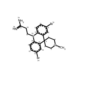 CN1CCC2(CC1)c1cc(Br)ccc1N(CCC(=N)N)c1ccc(Br)cc12